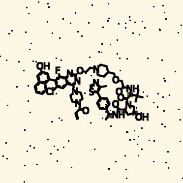 C=CC(=O)N1CCN(c2nc(OCCN3CCC(COCC(=O)N[C@H](C(=O)N4C[C@H](O)C[C@H]4C(=O)N[C@@H](C)c4ccc(-c5scnc5C)cc4)C(C)(C)C)CC3)nc3c(F)c(-c4cc(O)cc5ccccc45)c(Cl)cc23)CC1